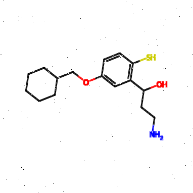 NCCC(O)c1cc(OCC2CCCCC2)ccc1S